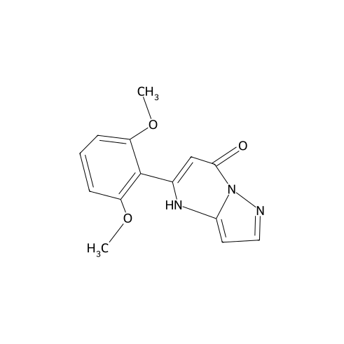 COc1cccc(OC)c1-c1cc(=O)n2nccc2[nH]1